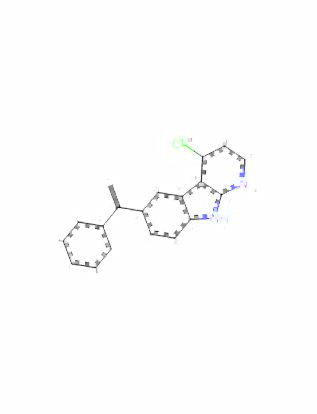 C=C(c1ccccc1)c1ccc2[nH]c3nccc(Cl)c3c2c1